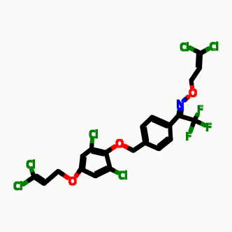 FC(F)(F)C(=NOCC=C(Cl)Cl)c1ccc(COc2c(Cl)cc(OCC=C(Cl)Cl)cc2Cl)cc1